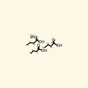 CCCC(=O)O.CCCC(=O)O.CCCC(=O)O.[Sb]